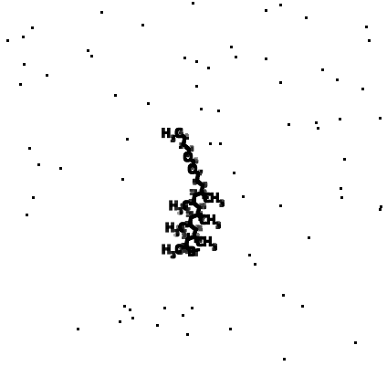 CCCCOCOCCCC(C)CC(C)CC(C)CC(C)CC(C)CC(C)Br